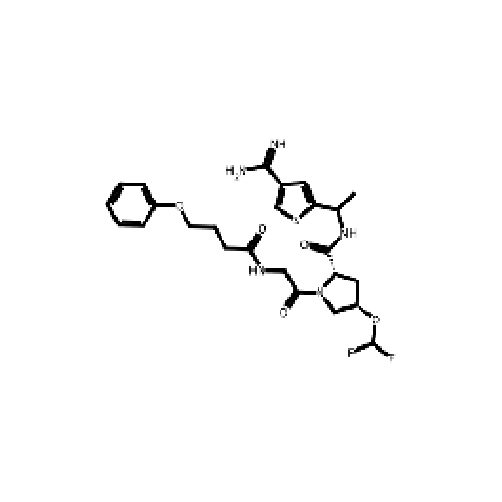 CC(NC(=O)[C@@H]1C[C@@H](OC(F)F)CN1C(=O)CNC(=O)CCCOc1ccccc1)c1cc(C(=N)N)cs1